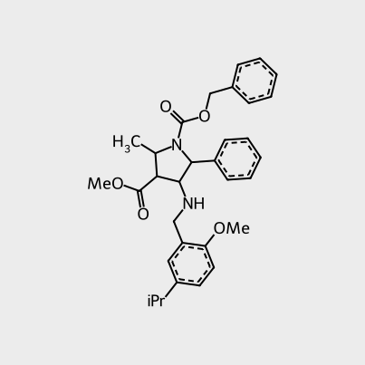 COC(=O)C1C(NCc2cc(C(C)C)ccc2OC)C(c2ccccc2)N(C(=O)OCc2ccccc2)C1C